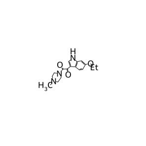 CCOc1ccc2c(C(=O)C(=O)N3CCN(C)CC3)c[nH]c2c1